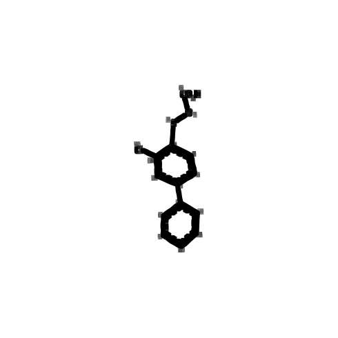 O=C(O)OSc1ccc(-c2ccccc2)cc1Cl